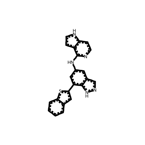 c1ccc2sc(-c3cc(Nc4nccc5[nH]ccc45)cc4cn[nH]c34)cc2c1